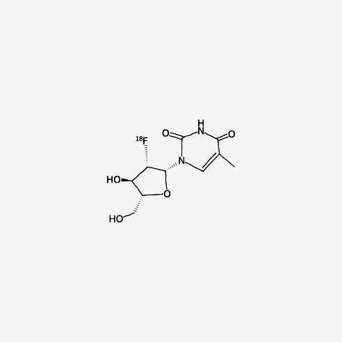 Cc1cn([C@@H]2O[C@H](CO)[C@@H](O)[C@@H]2[18F])c(=O)[nH]c1=O